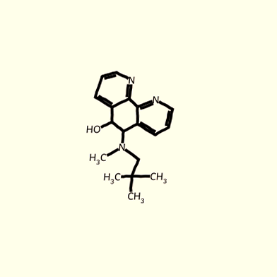 CN(CC(C)(C)C)C1c2cccnc2-c2ncccc2C1O